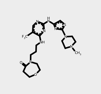 CN1CCN(c2nc(Nc3ncc(C(F)(F)F)c(NCCCN4CCOCCC4=O)n3)cs2)CC1